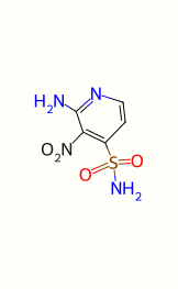 Nc1nccc(S(N)(=O)=O)c1[N+](=O)[O-]